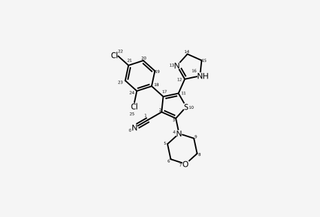 N#Cc1c(N2CCOCC2)sc(C2=NCCN2)c1-c1ccc(Cl)cc1Cl